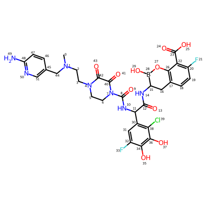 CN(CCN1CCN(C(=O)NC(C(=O)NC2Cc3ccc(F)c(C(=O)O)c3OB2O)c2cc(F)c(O)c(O)c2Cl)C(=O)C1=O)Cc1ccc(N)nc1